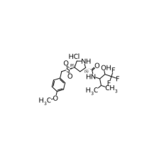 COc1ccc(CS(=O)(=O)[C@H]2CN[C@H](C(=O)NC(C(C)C)C(O)C(F)(F)F)C2)cc1.Cl